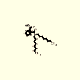 CCCCCCCCN(CCCCCCCC)C(=O)C1C2C=CC(C2)C1C(=O)O